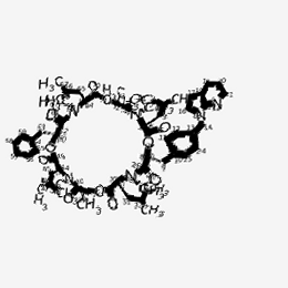 CC(C)C[C@H]1C(=O)O[C@H](Cc2ccc(Cn3ccc4cccnc43)cc2)C(=O)N(C)[C@@H](CC(C)C)C(=O)O[C@H](C)C(=O)N(C)[C@@H](CC(C)C)C(=O)O[C@H](Cc2ccccc2)C(=O)N(C)[C@@H](CC(C)C)C(=O)O[C@H](C)C(=O)N1C